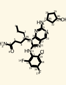 CCC[C@H](CCC(N)=O)n1c(Nc2c(F)cc(F)cc2Cl)nc2cnc(N[C@@H]3CC[C@@H](O)C3)nc21